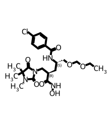 CCOCOC[C@H](C[C@H](CN1C(=O)N(C)C(C)(C)C1=O)C(=O)NO)NC(=O)c1ccc(Cl)cc1